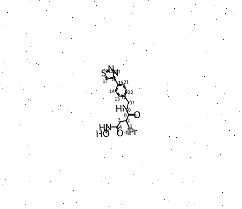 CC(C)CC(CC(=O)NO)C(=O)NCc1ccc(-c2csnn2)cc1